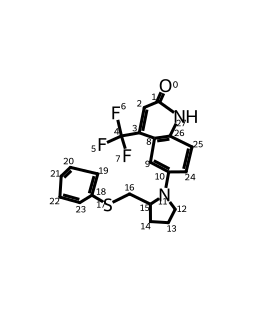 O=c1cc(C(F)(F)F)c2cc(N3CCCC3CSc3ccccc3)ccc2[nH]1